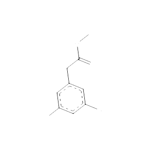 Bc1cc(F)cc(CC(=O)OC)c1